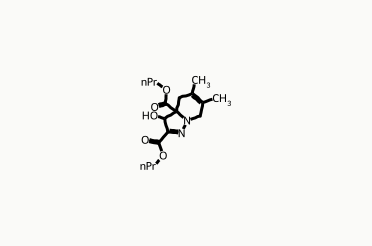 CCCOC(=O)C1=NN2CC(C)=C(C)CC2(C(=O)OCCC)C1O